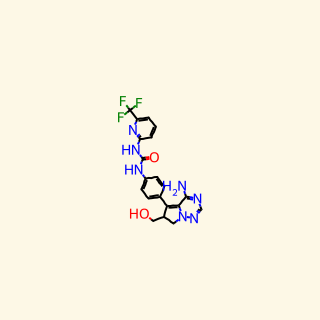 NC1=NC=NN2CC(CO)C(c3ccc(NC(=O)Nc4cccc(C(F)(F)F)n4)cc3)=C12